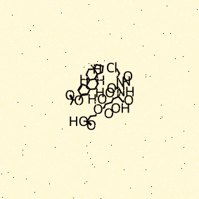 CC(=O)Oc1ccc2c(c1)CC[C@@H]1[C@@H]2CC[C@]2(C)CCC[C@@H]12.O=C[C@H](NC(=O)N(CCCl)N=O)[C@@H](O)[C@H](O)[C@H](O)C(=O)OCCC(=O)O